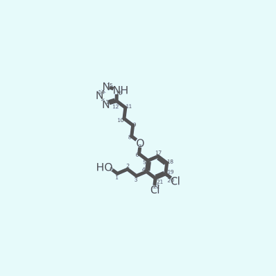 OCCCc1c(COCCCCc2nnn[nH]2)ccc(Cl)c1Cl